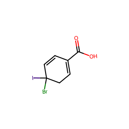 O=C(O)C1=CCC(Br)(I)C=C1